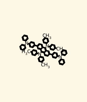 Cc1ccc(N(c2ccc(C)cc2)c2c3ccc(-c4ccc(N(c5ccccc5)c5ccccc5)cc4)cc3c(N(c3ccc(C)cc3)c3ccc(C)cc3)c3ccc(-c4ccc(N(c5ccccc5)c5ccccc5)cc4)cc23)cc1